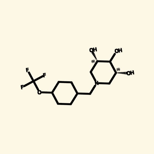 OC1[C@H](O)CN(CC2CCC(OC(F)(F)F)CC2)C[C@@H]1O